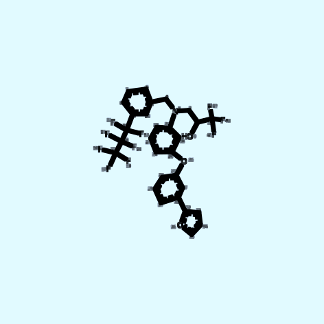 OC(CN(Cc1cccc(C(F)(F)C(F)(F)C(F)(F)F)c1)c1cccc(Oc2cccc(-c3ccco3)c2)c1)C(F)(F)F